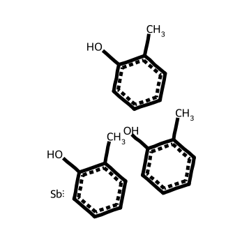 Cc1ccccc1O.Cc1ccccc1O.Cc1ccccc1O.[Sb]